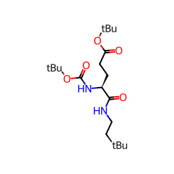 CC(C)(C)CCNC(=O)[C@H](CCC(=O)OC(C)(C)C)NC(=O)OC(C)(C)C